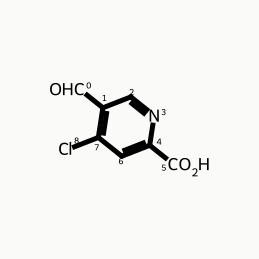 O=Cc1cnc(C(=O)O)cc1Cl